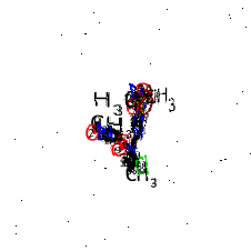 CC(=O)N1CCC(OC(=O)N(CCCN2CC3CN(S(=O)(=O)c4c(C)noc4C)CC3C2)c2ccc(C)c(Cl)c2)CC1